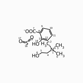 C[N+](C)(C)CCO.O=C([O-])c1ccccc1O.O=S=O